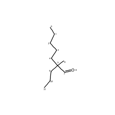 CCCCCC(C)(C=O)CCC